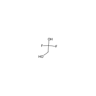 OCC(O)(F)F